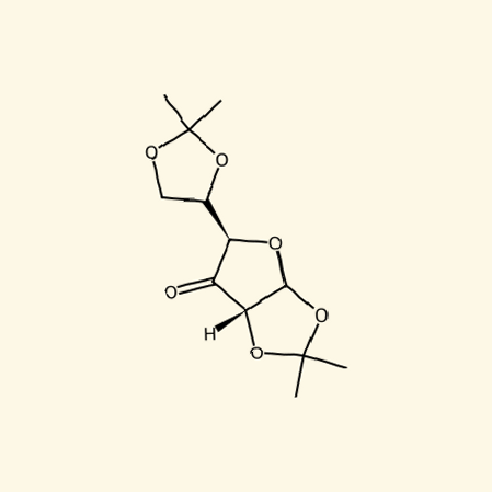 CC1(C)OCC([C@H]2OC3OC(C)(C)O[C@@H]3C2=O)O1